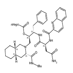 CCCCCCCC(=O)O[C@H](CN1C[C@H]2CCCC[C@H]2C[C@H]1C(=O)NC(C)(C)C)[C@H](Cc1ccccc1)NC(=O)[C@H](CC(N)=O)NC(=O)c1ccc2ccccc2n1